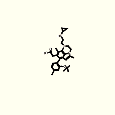 Cc1ccc(-c2c(CC(=O)O)c(C)c3c4c2cc(C)n4CCN3CCNC2CC2)c(OC(C)(C)C)c1